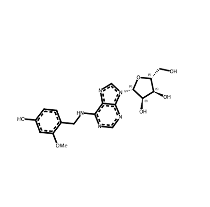 COc1cc(O)ccc1CNc1ncnc2c1ncn2[C@@H]1O[C@H](CO)[C@@H](O)[C@H]1O